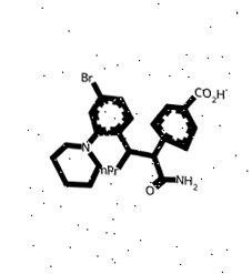 CCCC(c1ccc(Br)cc1N1CCCCC1)C(C(N)=O)c1ccc(C(=O)O)cc1